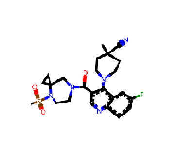 CC1(C#N)CCN(c2c(C(=O)N3CCN(S(C)(=O)=O)C4(CC4)C3)cnc3ccc(F)cc23)CC1